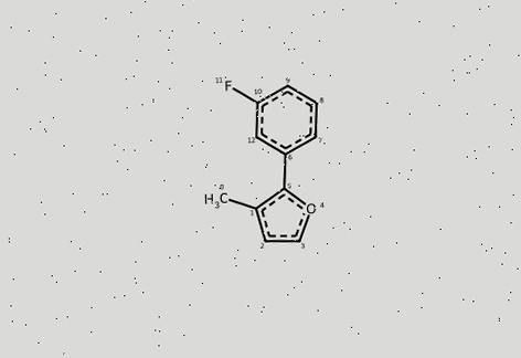 Cc1ccoc1-c1cccc(F)c1